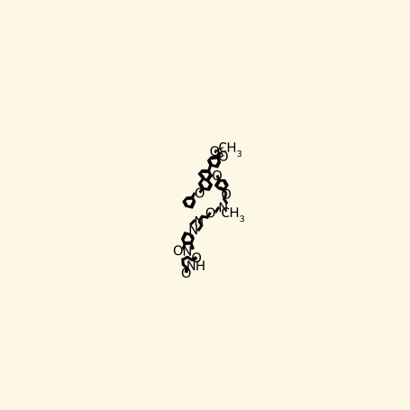 CN(CCOCCN1CCN(c2ccc3c(c2)CN(C2CCC(=O)NC2=O)C3=O)CC1)CCOc1ccc(Oc2c(-c3ccc(S(C)(=O)=O)cc3)ccc3cc(OCc4ccccc4)ccc23)cc1